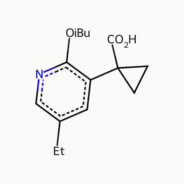 CCc1cnc(OCC(C)C)c(C2(C(=O)O)CC2)c1